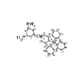 Cc1cc(C)cc([PH3+])c1.c1ccc([B-](c2ccccc2)(c2ccccc2)c2ccccc2)cc1